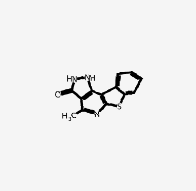 Cc1nc2sc3ccccc3c2c2[nH][nH]c(=O)c12